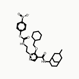 CC1CC2CCC(NC(=O)c3cnn(CCNC(=O)Oc4ccc([N+](=O)[O-])cc4)c3OCC3CCCCC3)C(C1)C2